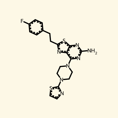 Nc1nc(N2CCN(c3nccs3)CC2)c2nc(CCc3ccc(F)cc3)sc2n1